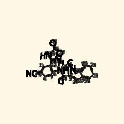 Cn1c(C(=O)Nc2ccc(C#N)cc2-c2noc(=O)[nH]2)cc2ccccc21